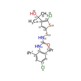 CC(C)c1cc(Cl)cc(C(C)C)c1NC(=O)NSc1cc(C(C)(C)O)c(Cl)s1